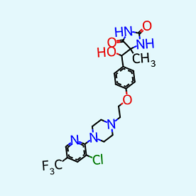 CC1(C(O)c2ccc(OCCN3CCN(c4ncc(C(F)(F)F)cc4Cl)CC3)cc2)NC(=O)NC1=O